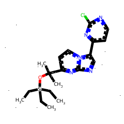 CC[Si](CC)(CC)OC(C)(C)c1ccn2c(-c3ccnc(Cl)n3)cnc2n1